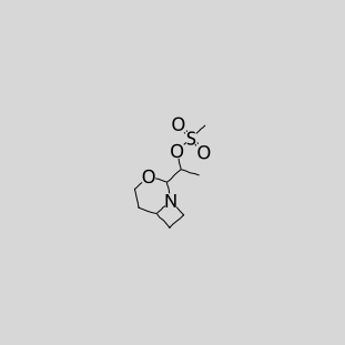 CC(OS(C)(=O)=O)C1OCCC2CCN21